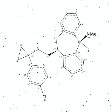 CN[C@]1(C)c2ccccc2C[C@H](CCC2(c3ccc(Cl)cc3)CC2)c2ccccc21